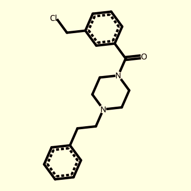 O=C(c1cccc(CCl)c1)N1CCN(CCc2ccccc2)CC1